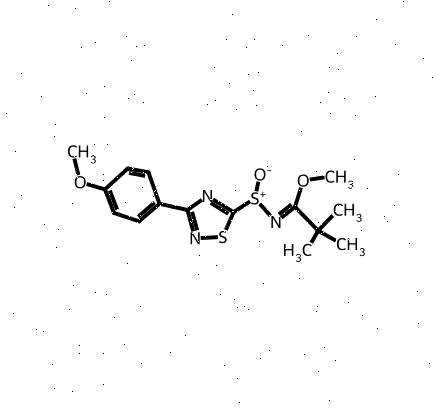 CO/C(=N\[S+]([O-])c1nc(-c2ccc(OC)cc2)ns1)C(C)(C)C